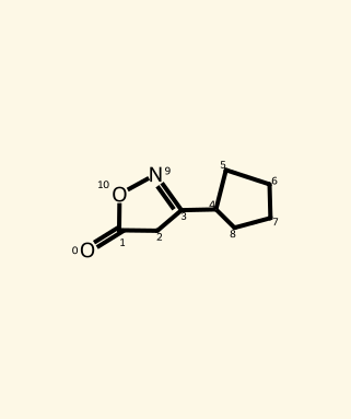 O=C1CC(C2CCCC2)=NO1